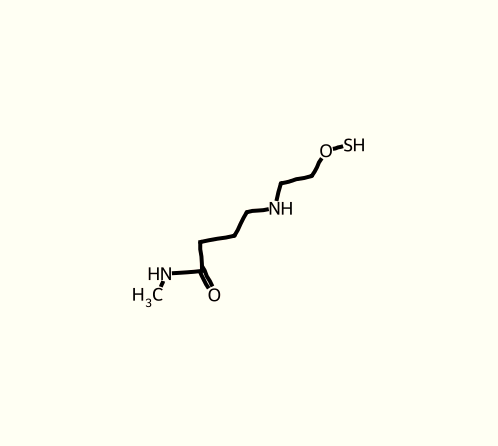 CNC(=O)CCCNCCOS